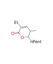 CCCCCC1OC(=O)C(CC)=CC1C